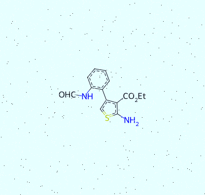 CCOC(=O)c1c(-c2ccccc2NC=O)csc1N